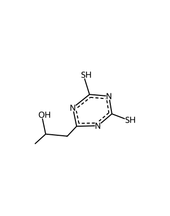 CC(O)Cc1nc(S)nc(S)n1